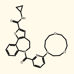 O=C(NC1CC1)c1cc2c(s1)-c1ccccc1N(C(=O)c1cccc(N3CCCOCCCOCC3)n1)CC2